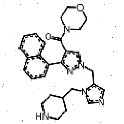 O=C(c1cn(Cc2cncn2CC2CCNCC2)nc1-c1cccc2ccccc12)N1CCOCC1